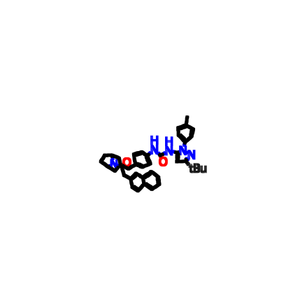 Cc1ccc(-n2nc(C(C)(C)C)cc2NC(=O)Nc2ccc(CC3CC4CCC(C3)N4C(=O)Cc3ccc4ccccc4c3)cc2)cc1